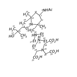 CC(=O)NC1CC(C)(C)N(OCC(C)(C)O)C(C)(C)C1.CCNCC.CCNCC.O=C(O)CN(CC(=O)O)CC(=O)O